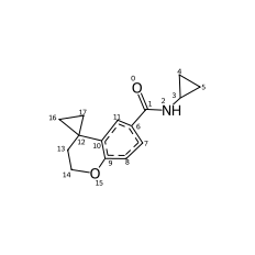 O=C(NC1CC1)c1ccc2c(c1)C1(CCO2)CC1